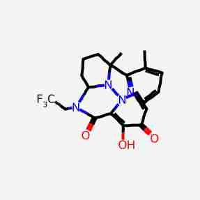 Cc1cccnc1C1(C)CCCC2N(CC(F)(F)F)C(=O)c3c(O)c(=O)ccn3N21